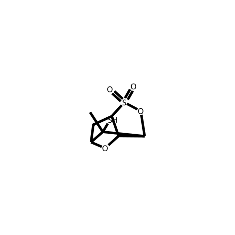 CC1(S)C2CC3C(O2)C1OS3(=O)=O